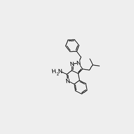 CC(C)Cc1c2c(nn1Cc1ccccc1)c(N)nc1ccccc12